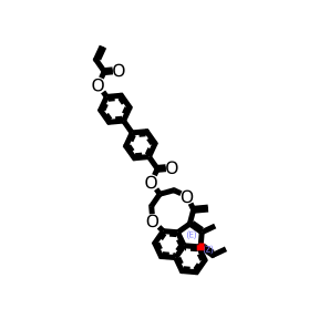 C=CC(=O)Oc1ccc(-c2ccc(C(=O)OC3COC(=C)/C(=C(C)/C=C\C)c4c(ccc5ccccc45)OC3)cc2)cc1